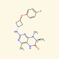 Cc1nc(N[C@H]2C[C@H](Oc3ccc(F)cc3)C2)nc2c1NC(=O)[C@H](C)N2C